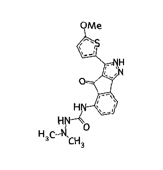 COc1ccc(-c2[nH]nc3c2C(=O)c2c(NC(=O)NN(C)C)cccc2-3)s1